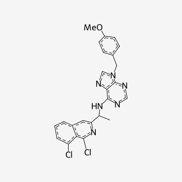 COc1ccc(Cn2cnc3c(NC(C)c4cc5cccc(Cl)c5c(Cl)n4)ncnc32)cc1